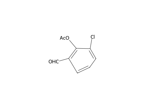 CC(=O)Oc1c(Cl)cccc1C=O